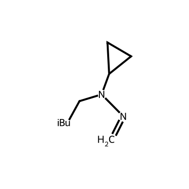 C=NN(CC(C)CC)C1CC1